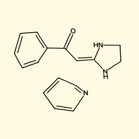 O=C(C=C1NCCN1)c1ccccc1.c1ccncc1